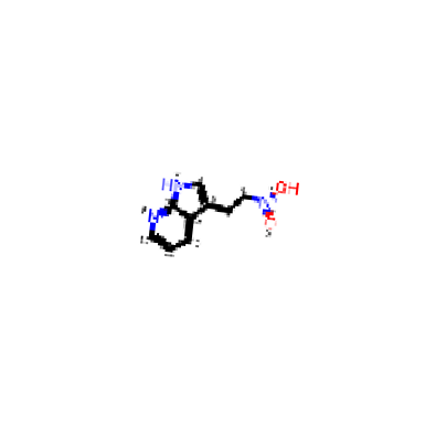 O=[N+](O)CCc1c[nH]c2ncccc12